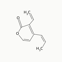 C=Cc1c(/C=C\C)ccoc1=O